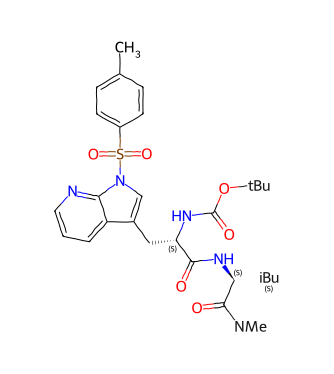 CC[C@H](C)[C@H](NC(=O)[C@H](Cc1cn(S(=O)(=O)c2ccc(C)cc2)c2ncccc12)NC(=O)OC(C)(C)C)C(=O)NC